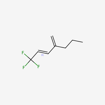 C=C(/C=C/C(F)(F)F)CCC